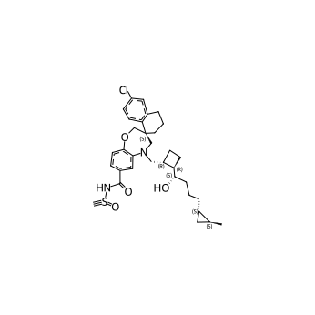 C#S(=O)NC(=O)c1ccc2c(c1)N(C[C@@H]1CC[C@H]1[C@@H](O)CCC[C@H]1C[C@@H]1C)C[C@@]1(CCCc3cc(Cl)ccc31)CO2